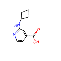 O=C(O)c1ccnc(NC2CCC2)c1